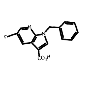 O=C(O)c1cn(Cc2ccccc2)c2ncc(F)cc12